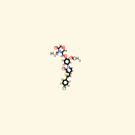 COc1cc(-n2ccc3cc(-c4ccc(Cl)cc4)sc3c2=O)ccc1OCC1COCC(=O)N1C